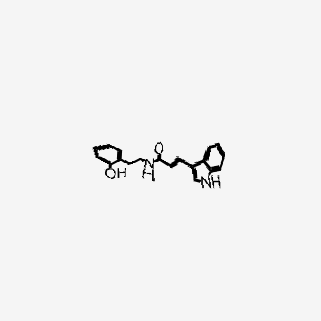 O=C(CCc1c[nH]c2ccccc12)NCCc1ccccc1O